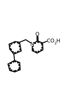 O=C(O)c1cccn(Cc2cccc(-c3ccccc3)c2)c1=O